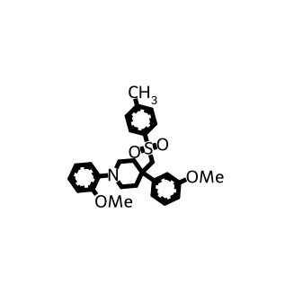 COc1cccc(C2(CS(=O)(=O)c3ccc(C)cc3)CCN(c3ccccc3OC)CC2)c1